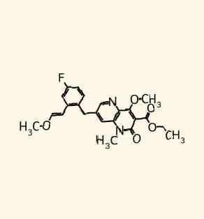 CCOC(=O)c1c(OC)c2ncc(Cc3ccc(F)cc3/C=C/OC)cc2n(C)c1=O